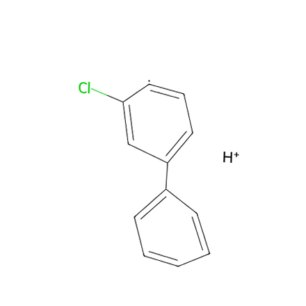 Clc1[c]ccc(-c2ccccc2)c1.[H+]